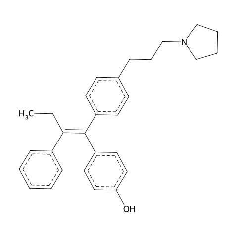 CCC(=C(c1ccc(O)cc1)c1ccc(CCCN2CCCC2)cc1)c1ccccc1